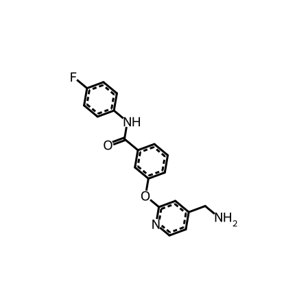 NCc1ccnc(Oc2cccc(C(=O)Nc3ccc(F)cc3)c2)c1